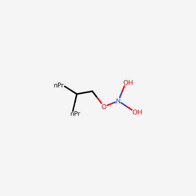 CCCC(CCC)CON(O)O